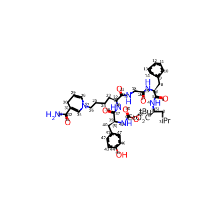 CCOC(=O)[C@H](CC(C)C)NC(=O)[C@H](Cc1ccccc1)NC(=O)CNC(=O)[C@H](CCCCN1C=CCC(C(N)=O)=C1)NC(=O)[C@H](Cc1ccc(O)cc1)NC(=O)OC(C)(C)C